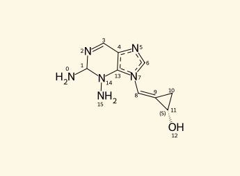 NC1N=Cc2ncn(C=C3C[C@@H]3O)c2N1N